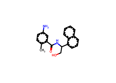 Cc1ccc(N)cc1C(=O)NC(CO)c1cccc2ccccc12